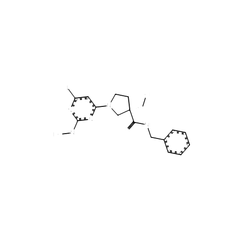 CC[C@@]1(C(=O)NCc2ccccc2)CCN(c2cc(Cl)nc(NC)n2)C1